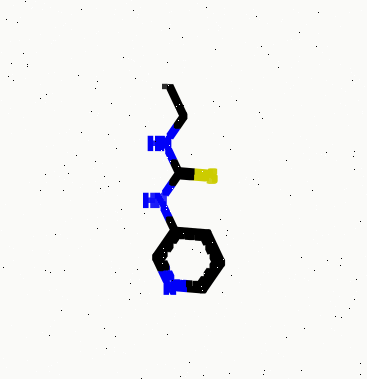 [CH2]CNC(=S)Nc1cccnc1